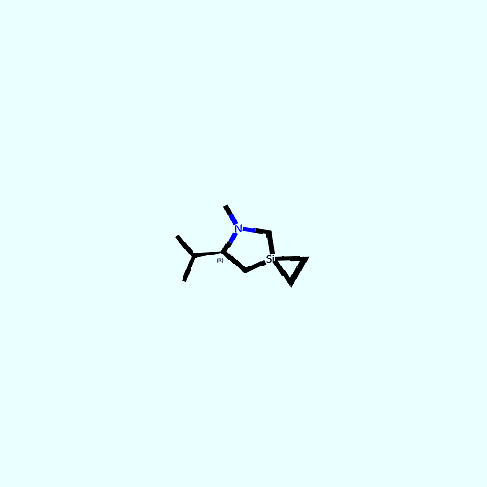 CC(C)[C@@H]1C[Si]2(CC2)CN1C